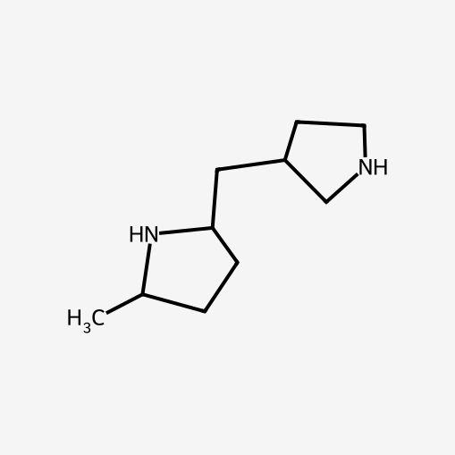 CC1CCC(CC2CCNC2)N1